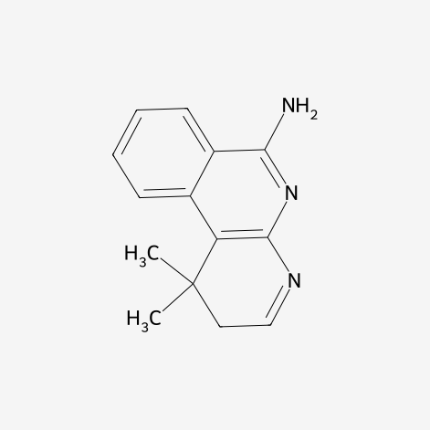 CC1(C)CC=Nc2nc(N)c3ccccc3c21